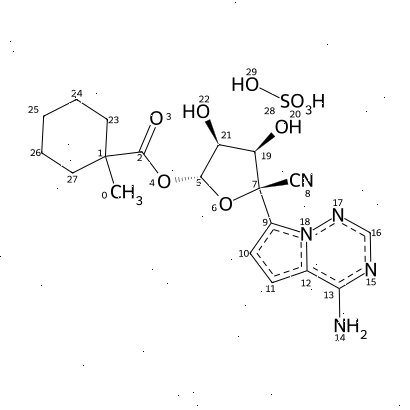 CC1(C(=O)O[C@H]2O[C@@](C#N)(c3ccc4c(N)ncnn34)[C@H](O)[C@@H]2O)CCCCC1.O=S(=O)(O)O